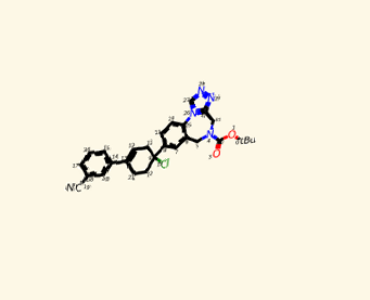 CC(C)(C)OC(=O)N1Cc2cc(C3(Cl)CC=C(c4cccc(C#N)c4)CC3)ccc2-n2cnnc2C1